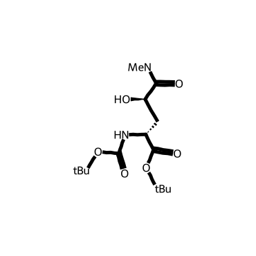 CNC(=O)[C@H](O)C[C@@H](NC(=O)OC(C)(C)C)C(=O)OC(C)(C)C